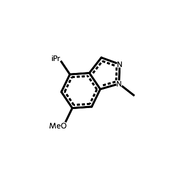 COc1cc(C(C)C)c2cnn(C)c2c1